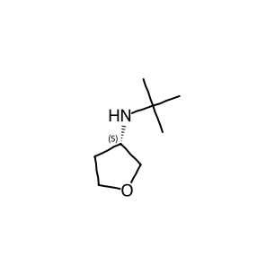 CC(C)(C)N[C@H]1CCOC1